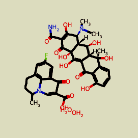 CC1CCc2cc(F)cc3c(=O)c(C(=O)O)cn1c23.CN(C)[C@@H]1C(O)=C(C(N)=O)C(=O)[C@@]2(O)C(O)=C3C(=O)c4c(O)cccc4[C@@](C)(O)[C@H]3[C@H](O)[C@@H]12.O.O